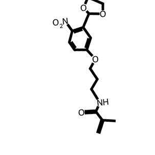 C=C(C)C(=O)NCCCOc1ccc([N+](=O)[O-])c(C2OCCO2)c1